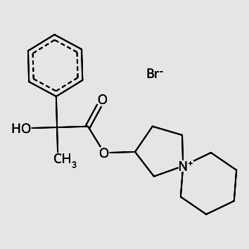 CC(O)(C(=O)OC1CC[N+]2(CCCCC2)C1)c1ccccc1.[Br-]